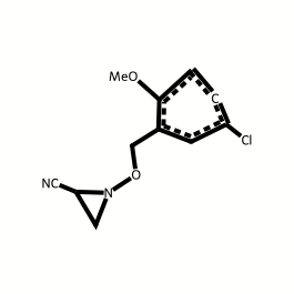 COc1ccc(Cl)cc1CON1CC1C#N